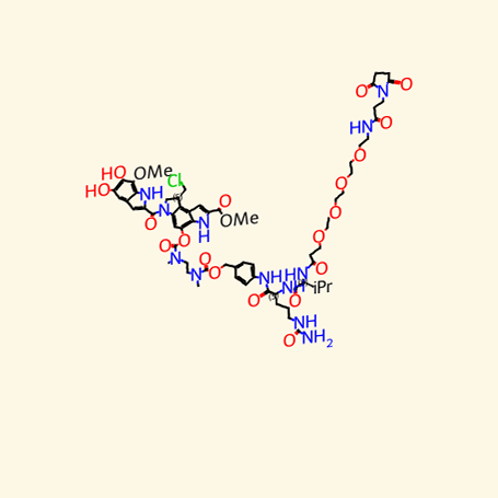 COC(=O)c1cc2c3c(cc(OC(=O)N(C)CCN(C)C(=O)OCc4ccc(NC(=O)[C@H](CCCNC(N)=O)NC(=O)[C@@H](NC(=O)CCOCCOCCOCCOCCNC(=O)CCN5C(=O)CCC5=O)C(C)C)cc4)c2[nH]1)N(C(=O)c1cc2cc(O)c(O)c(OC)c2[nH]1)C[C@H]3CCl